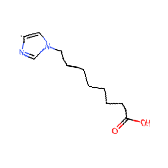 O=C(O)CCCCCCCn1c[c]nc1